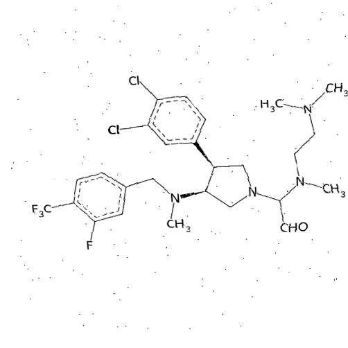 CN(C)CCN(C)C(C=O)N1C[C@H](c2ccc(Cl)c(Cl)c2)[C@H](N(C)Cc2ccc(C(F)(F)F)c(F)c2)C1